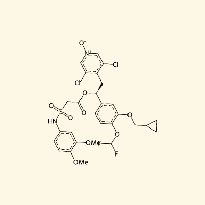 COc1ccc(NS(=O)(=O)CC(=O)O[C@@H](Cc2c(Cl)c[n+]([O-])cc2Cl)c2ccc(OC(F)F)c(OCC3CC3)c2)cc1OC